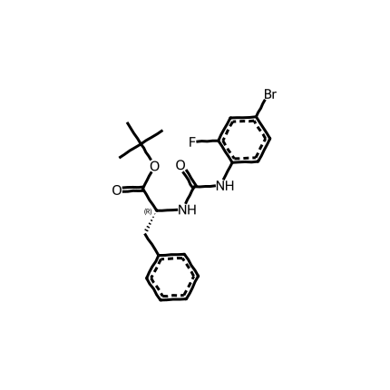 CC(C)(C)OC(=O)[C@@H](Cc1ccccc1)NC(=O)Nc1ccc(Br)cc1F